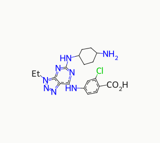 CCn1nnc2c(Nc3ccc(C(=O)O)c(Cl)c3)nc(NC3CCC(N)CC3)nc21